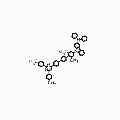 Cc1ccc(-c2cc(-c3ccc(-c4ccc(-c5c(C)cc(-n6c7ccccc7c7cc(N(c8ccccc8)c8ccccc8)ccc76)cc5C)cc4)cc3)nc(-c3ccc(C)cc3)n2)cc1